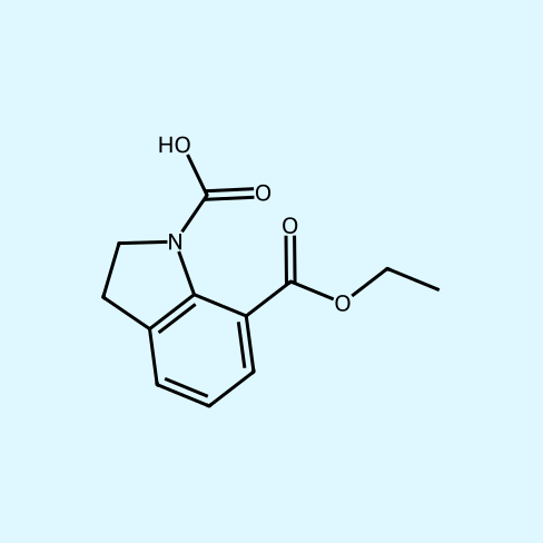 CCOC(=O)c1cccc2c1N(C(=O)O)CC2